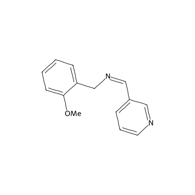 COc1ccccc1C/N=C\c1cccnc1